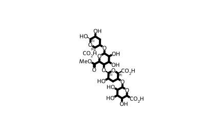 COC(=O)C1OC(OC2CC(O)[C@@H](O)O[C@H]2C(=O)O)C(O)C(O)C1O[C@H]1O[C@@H](C(=O)O)C(OC2OC(C(=O)O)C(O)C(O)C2O)CC1O